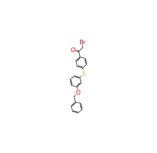 O=C(CBr)c1ccc(Sc2cccc(OCc3ccccc3)c2)cc1